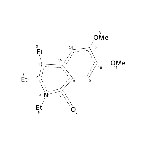 CCc1c(CC)n(CC)c(=O)c2cc(OC)c(OC)cc12